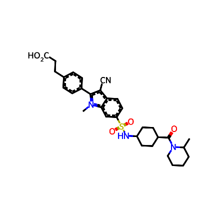 CC1CCCCN1C(=O)C1CCC(NS(=O)(=O)c2ccc3c(C#N)c(-c4ccc(CCC(=O)O)cc4)n(C)c3c2)CC1